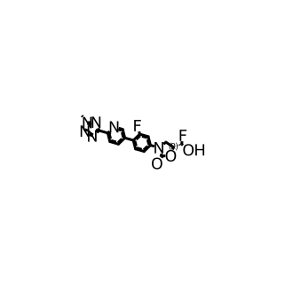 Cn1nnc(-c2ccc(-c3ccc(N4C[C@H](C(O)F)OC4=O)cc3F)cn2)n1